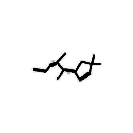 C=C/C=C(C)\C(F)=C1\C=CC(C)(C)C1